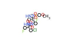 COC(=O)N[C@H](C(=O)Nc1cccc(F)c1CC[C@H]1CNCCN1S(=O)(=O)c1ccc(OC)cc1)[C@H](c1cccc(F)c1)c1cccc(Cl)c1